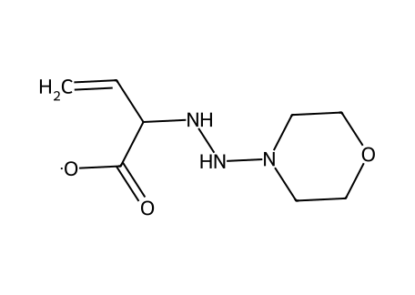 C=CC(NNN1CCOCC1)C([O])=O